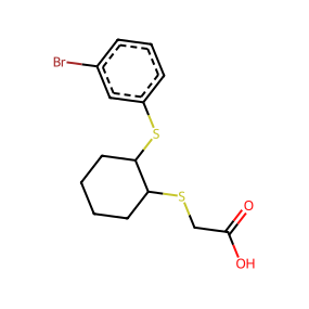 O=C(O)CSC1CCCCC1Sc1cccc(Br)c1